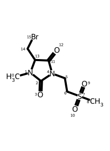 CN1C(=O)N(CCS(C)(=O)=O)C(=O)C1CBr